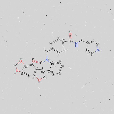 O=C(NCc1ccncc1)c1ccc(CN2C(=O)C3(COc4cc5c(cc43)OCO5)c3ccccc32)cc1